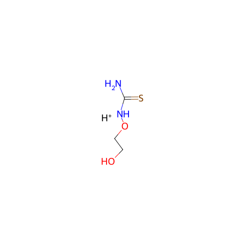 NC(=S)NOCCO.[H+]